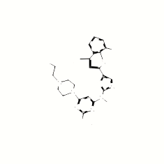 CC1=C=C(c2cnc(N(Cl)c3cc(N4CCN(CCO)CC4)nc(C)n3)s2)Nc2c(C)cccc21